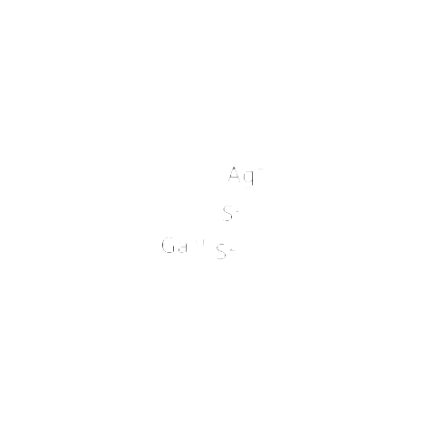 [Ag+].[Ga+3].[S-2].[S-2]